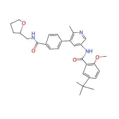 COc1ccc(C(C)(C)C)cc1C(=O)Nc1cnc(C)c(-c2ccc(C(=O)NCC3CCCO3)cc2)c1